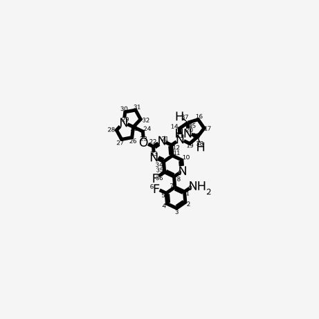 Nc1cccc(F)c1-c1ncc2c(N3C[C@H]4CC[C@@H](C3)N4)nc(OCC34CCCN3CCC4)nc2c1F